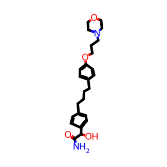 NC(=O)C(O)c1ccc(CCCCc2ccc(OCCCN3CCOCC3)cc2)cc1